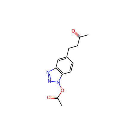 CC(=O)CCc1ccc2c(c1)nnn2OC(C)=O